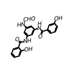 O=CNc1cc(NC(=O)c2cccc(O)c2)cc(NC(=O)c2ccccc2O)c1